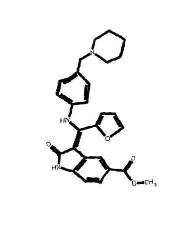 COC(=O)c1ccc2c(c1)/C(=C(/Nc1ccc(CN3CCCCC3)cc1)c1ccco1)C(=O)N2